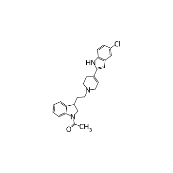 CC(=O)N1CC(CCN2CC=C(c3cc4cc(Cl)ccc4[nH]3)CC2)c2ccccc21